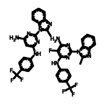 Cc1nc2ccccc2n1-c1nc(N)c(F)c(Nc2ccc(C(F)(F)F)cc2)n1.Cc1nc2ccccc2n1-c1nc(N)cc(Nc2ccc(C(F)(F)F)cc2)n1